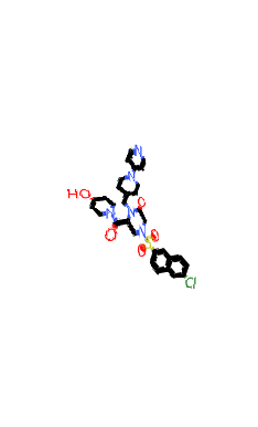 O=C(C1CN(S(=O)(=O)c2ccc3cc(Cl)ccc3c2)CC(=O)N1CC1CCN(c2ccncc2)CC1)N1CCC(O)CC1